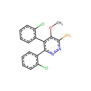 COc1c(P)nnc(-c2ccccc2Cl)c1-c1ccccc1Cl